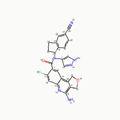 Cn1cc(N(C(=O)c2cc3c4c(c(N)nc3cc2F)COC4)C2CCc3cc(C#N)ccc32)cn1